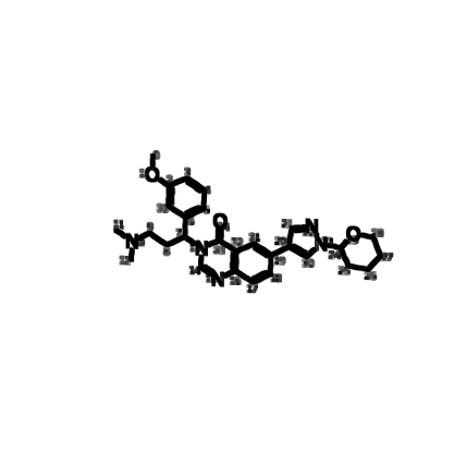 COc1cccc(C(CCN(C)C)n2cnc3ccc(-c4cnn(C5CCCCO5)c4)cc3c2=O)c1